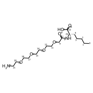 CCCCC[C@H](NC(=O)COCCOCCOCCOCCN)C(=O)O